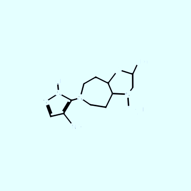 Cn1ncc([N+](=O)[O-])c1N1CCC2OC(C(C)(C)C)CN(C(=O)O)C2CC1